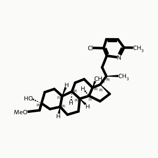 COC[C@@]1(O)CC[C@H]2[C@H](CC[C@@H]3[C@@H]2CC[C@]2(C)[C@@H]([C@H](C)Cc4nc(C)ccc4Cl)CC[C@@H]32)C1